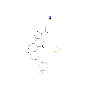 CC1(C)CN([C@H]2C[C@@]3(C)[C@@H](CC[C@H]4[C@@H]5CC[C@H](C(=O)CSC#N)[C@@]5(C)CC(=O)[C@@H]43)C[C@@H]2O)CCO1.CS(=O)(=O)O